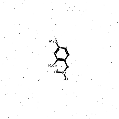 COc1ccc(CP(Cl)Cl)c(C)c1